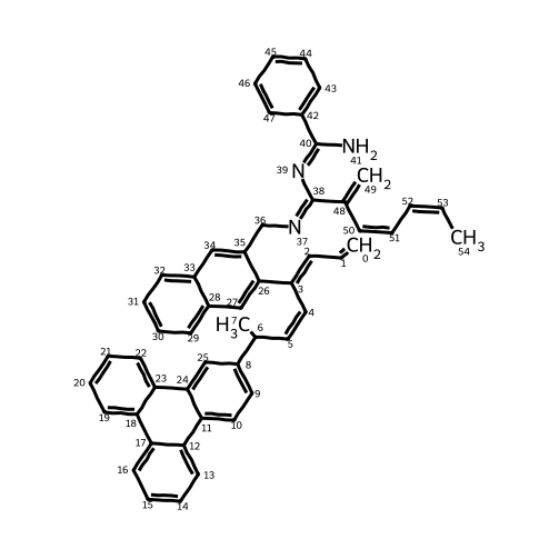 C=C/C=C(\C=C/C(C)c1ccc2c3ccccc3c3ccccc3c2c1)c1cc2ccccc2cc1C/N=C(\N=C(/N)c1ccccc1)C(=C)/C=C\C=C/C